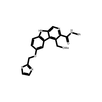 COCc1c(C(=O)NC(C)C)ncc2[nH]c3ccc(OCc4nccs4)cc3c12